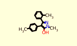 Cc1ccc(-c2c(-c3ccccc3C)nn(C)c2O)cc1